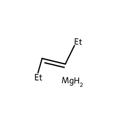 CCC=CCC.[MgH2]